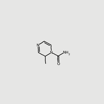 CC1C=NC=CN1C(N)=O